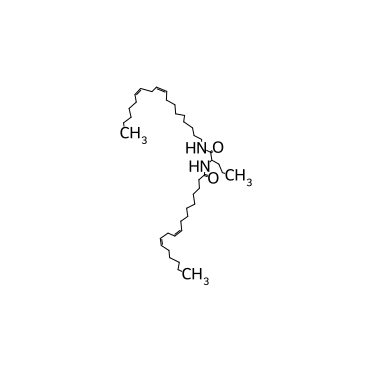 CCCCC/C=C\C/C=C\CCCCCCCCNC(=O)C(CCC)NC(=O)CCCCCCC/C=C\C/C=C\CCCCC